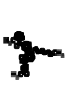 COCCOCCn1c2ccc(C(=O)c3ccccc3C)cc2c2c3c(ccc21)/C(=N/OC(C)=O)CO3